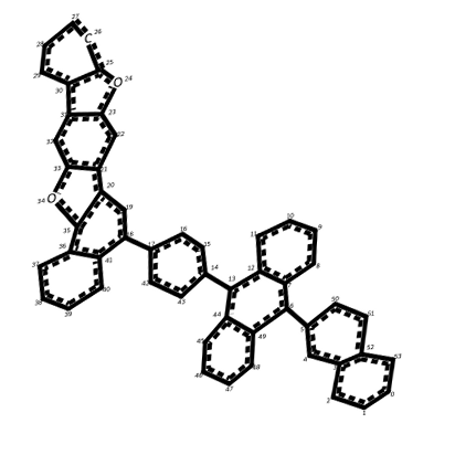 c1ccc2cc(-c3c4ccccc4c(-c4ccc(-c5cc6c7cc8oc9ccccc9c8cc7oc6c6ccccc56)cc4)c4ccccc34)ccc2c1